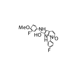 COc1ccc(NC(O)c2cc3ccc(=O)n(-c4ccc(F)cc4)c3[nH]2)cc1F